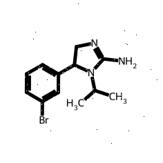 CC(C)N1C(N)=NCC1c1cccc(Br)c1